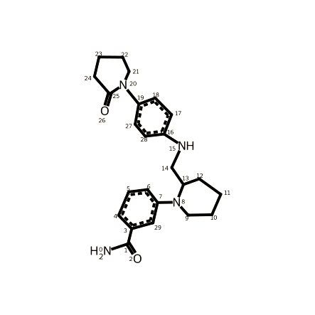 NC(=O)c1cccc(N2CCCCC2CNc2ccc(N3CCCCC3=O)cc2)c1